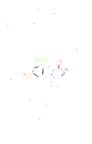 CCCCOc1ccc(CC(N)C(=O)N(C)C)cc1.Cl